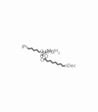 CCCCCCCCCCCCCCCCCC(=O)OP(=O)(O)OCCCCCC(C)C.[MgH2]